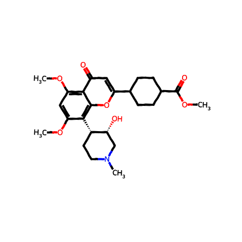 COC(=O)C1CCC(c2cc(=O)c3c(OC)cc(OC)c([C@H]4CCN(C)C[C@H]4O)c3o2)CC1